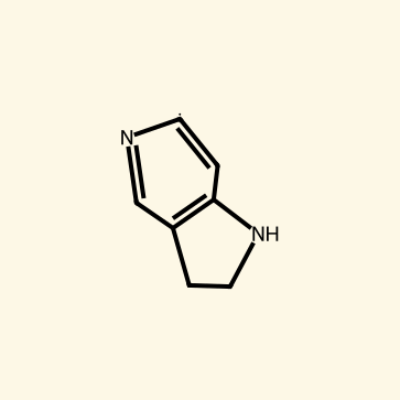 [c]1cc2c(cn1)CCN2